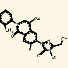 CCn1c(CO)nn(-c2cc3c(C(C)(C)C)cn(-c4ccccc4C)c(=O)c3cc2F)c1=O